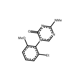 CCc1cccc(OC)c1-n1cnc(NC)nc1=O